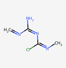 C=N/C(N)=N\C(Cl)=N/C